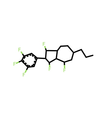 CCCC1CCC2C(F)C(c3cc(F)c(F)c(F)c3)C(F)C2C(F)C1